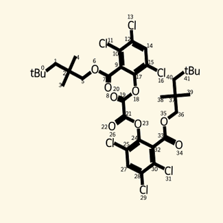 CC(C)(C)CC(C)(C)COC(=O)c1c(Cl)c(Cl)cc(Cl)c1OC(=O)C(=O)Oc1c(Cl)cc(Cl)c(Cl)c1C(=O)OCC(C)(C)CC(C)(C)C